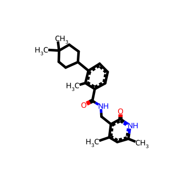 Cc1cc(C)c(CNC(=O)c2cccc(C3CCC(C)(C)CC3)c2C)c(=O)[nH]1